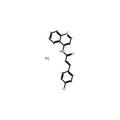 Cl.O=C(/C=C/c1ccc(Cl)cc1)Nc1ccnc2ccccc12